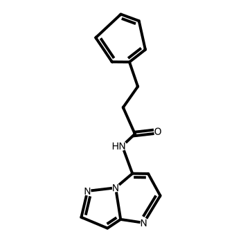 O=C(CCc1ccccc1)Nc1ccnc2ccnn12